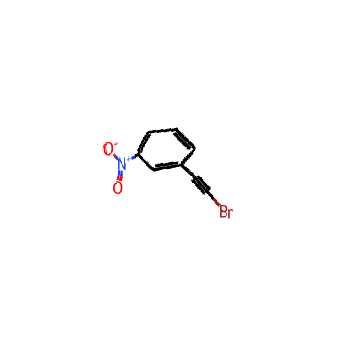 O=[N+]([O-])c1cccc(C#CBr)c1